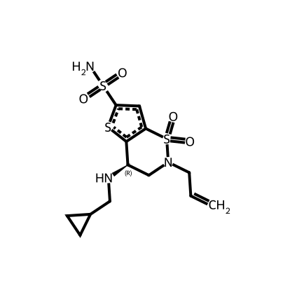 C=CCN1C[C@@H](NCC2CC2)c2sc(S(N)(=O)=O)cc2S1(=O)=O